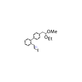 CCOC(Cc1ccc(-c2ccccc2/C=C/I)cc1)OC